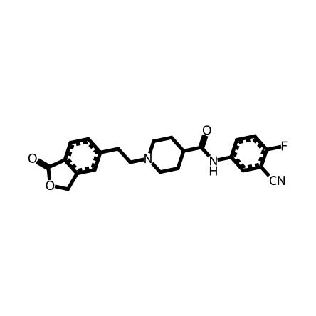 N#Cc1cc(NC(=O)C2CCN(CCc3ccc4c(c3)COC4=O)CC2)ccc1F